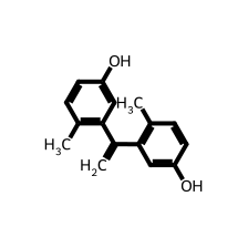 C=C(c1cc(O)ccc1C)c1cc(O)ccc1C